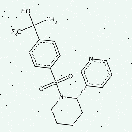 CC(O)(c1ccc(S(=O)(=O)N2CCCC[C@H]2c2cccnc2)cc1)C(F)(F)F